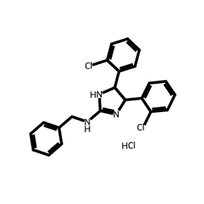 Cl.Clc1ccccc1C1N=C(NCc2ccccc2)NC1c1ccccc1Cl